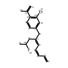 C=C/C=C\C=C(\Cc1ccc(C(=C)C)c(CC)c1)CC(C)F